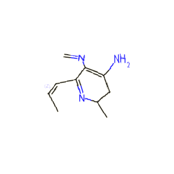 C=NC1=C(N)CC(C)N=C1/C=C\C